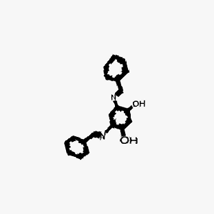 Oc1cc(O)c(/N=C/c2ccccc2)cc1/N=C/c1ccccc1